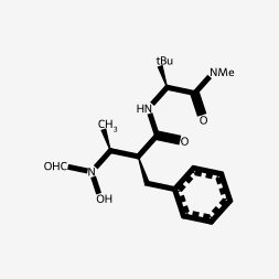 CNC(=O)[C@@H](NC(=O)[C@@H](Cc1ccccc1)[C@H](C)N(O)C=O)C(C)(C)C